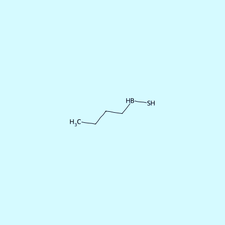 CCCCBS